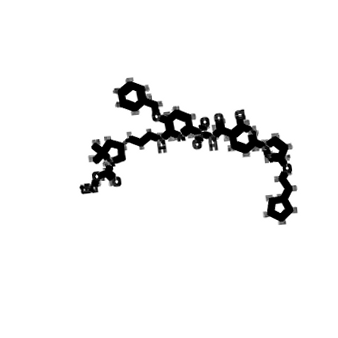 CC(C)(C)OC(=O)N1C[C@@H](CCCNc2nc(S(=O)(=O)NC(=O)c3ccc(-n4ccc(OCCC5CCCC5)n4)nc3Cl)ccc2OCc2ccccc2)CC1(C)C